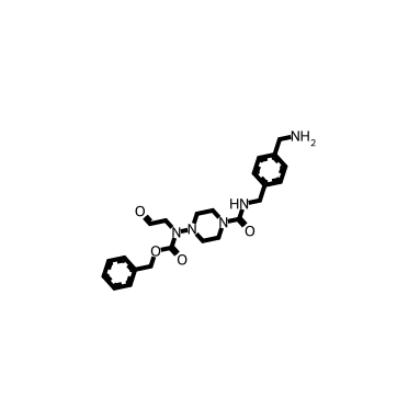 NCc1ccc(CNC(=O)N2CCN(N(CC=O)C(=O)OCc3ccccc3)CC2)cc1